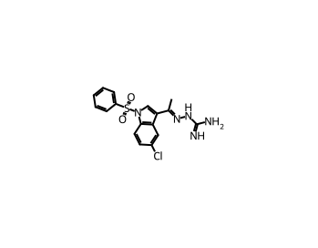 CC(=NNC(=N)N)c1cn(S(=O)(=O)c2ccccc2)c2ccc(Cl)cc12